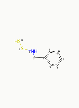 SSNCc1ccccc1